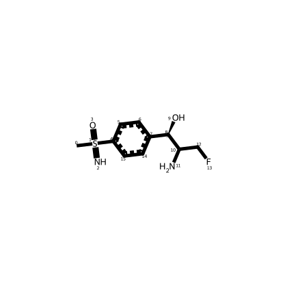 CS(=N)(=O)c1ccc([C@@H](O)C(N)CF)cc1